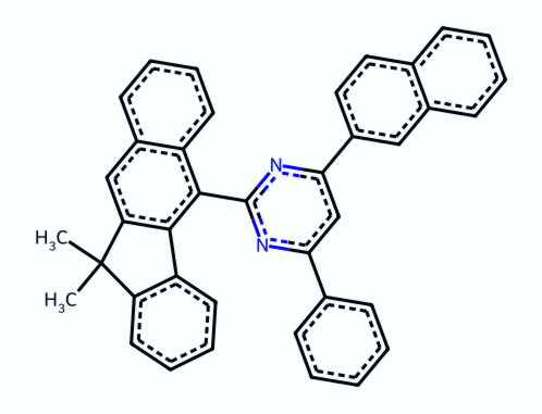 CC1(C)c2ccccc2-c2c1cc1ccccc1c2-c1nc(-c2ccccc2)cc(-c2ccc3ccccc3c2)n1